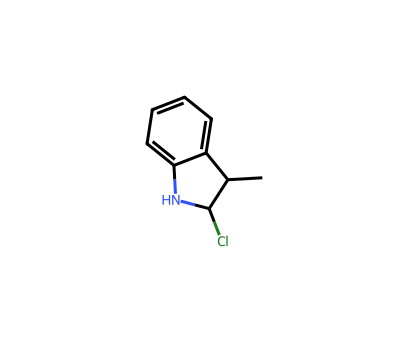 CC1c2ccccc2NC1Cl